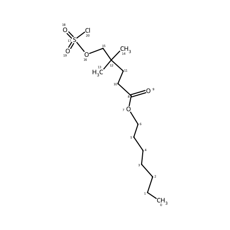 CCCCCCCOC(=O)CCC(C)(C)COS(=O)(=O)Cl